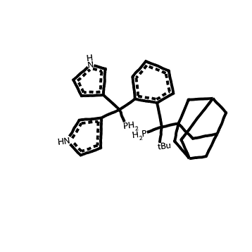 CC(C)(C)C(P)(c1ccccc1C(P)(c1cc[nH]c1)c1cc[nH]c1)C12CC3CC(CC(C3)C1)C2